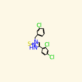 S=[n+]1[nH]c(-c2ccc(Cl)cc2Cl)cn1Cc1cccc(Cl)c1